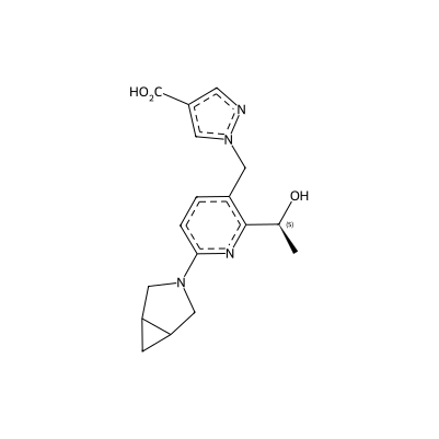 C[C@H](O)c1nc(N2CC3CC3C2)ccc1Cn1cc(C(=O)O)cn1